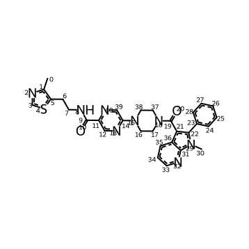 Cc1ncsc1CCNC(=O)c1cnc(N2CCN(C(=O)c3c(-c4ccccc4)n(C)c4ncccc34)CC2)cn1